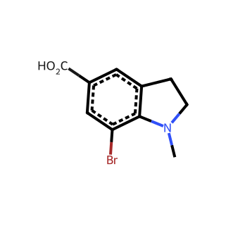 CN1CCc2cc(C(=O)O)cc(Br)c21